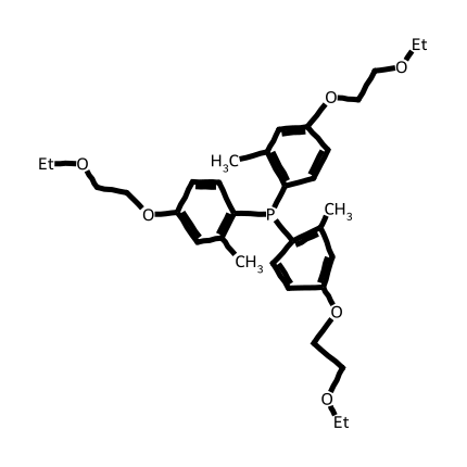 CCOCCOc1ccc(P(c2ccc(OCCOCC)cc2C)c2ccc(OCCOCC)cc2C)c(C)c1